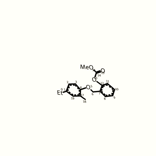 CCc1ccc(OCc2ccccc2OC(=O)OC)c(C)c1